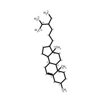 CCC(CCCC1CCC2C3CC=C4CC(C)CCC4(C)C3CCC12C)C(C)C